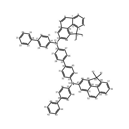 CC1(C)c2cccc3ccc4cc(N(c5ccc(-c6ccccc6)cc5)c5ccc(-c6ccc(N(c7ccc(-c8ccccc8)cc7)c7cc8c9c(ccc%10cccc(c%109)C8(C)C)c7)cc6)cc5)cc1c4c23